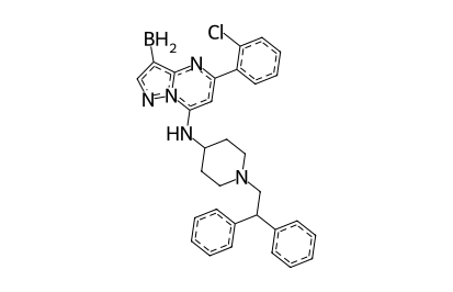 Bc1cnn2c(NC3CCN(CC(c4ccccc4)c4ccccc4)CC3)cc(-c3ccccc3Cl)nc12